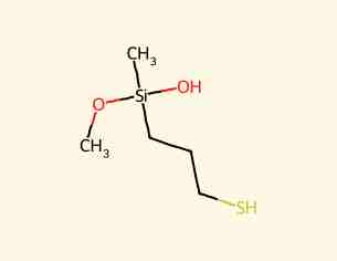 CO[Si](C)(O)CCCS